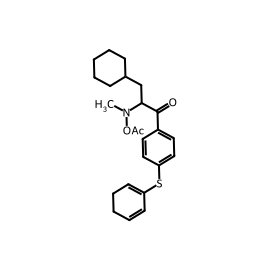 CC(=O)ON(C)C(CC1CCCCC1)C(=O)c1ccc(SC2=CCCC=C2)cc1